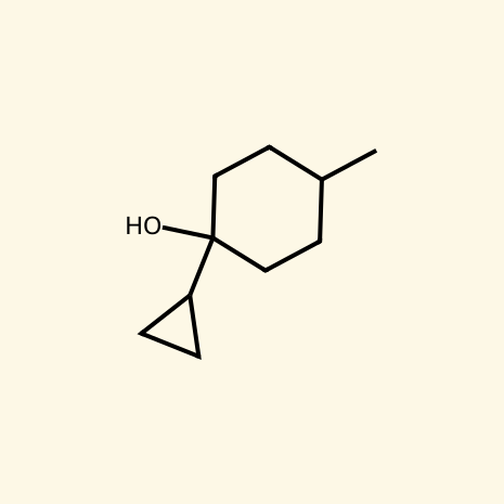 CC1CCC(O)(C2CC2)CC1